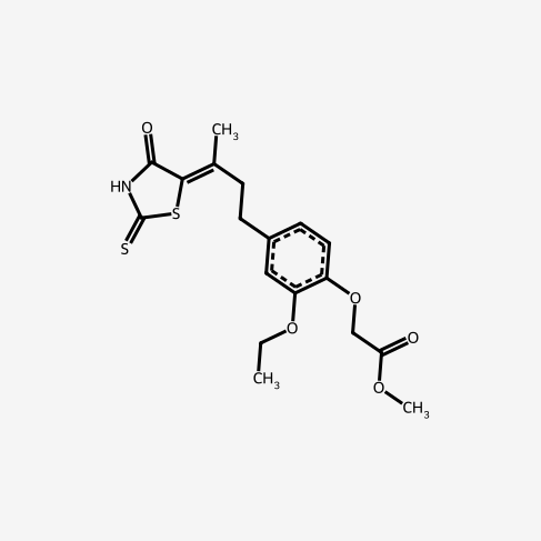 CCOc1cc(CCC(C)=C2SC(=S)NC2=O)ccc1OCC(=O)OC